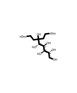 CCCCCCCCCCCCC(O)(CCCCCCCCCCCC)[C@@H](O)[C@@H](O)[C@H](O)[C@H](O)CO